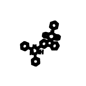 c1ccc(C2=NC(c3ccccc3)NC(c3ccc4c(c3)-c3ccccc3C43c4ccccc4N(c4ccccc4)c4ccccc43)=N2)cc1